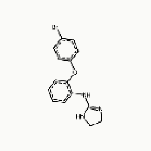 Brc1ccc(Oc2ccccc2NC2=NCCN2)cc1